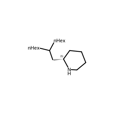 CCCCCCC(CCCCCC)C[C@@H]1CCCCN1